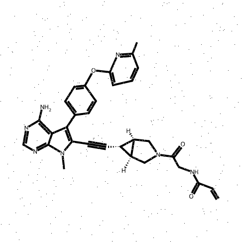 C=CC(=O)NCC(=O)N1C[C@@H]2[C@@H](C#Cc3c(-c4ccc(Oc5cccc(C)n5)cc4)c4c(N)ncnc4n3C)[C@@H]2C1